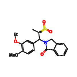 CCOc1cc(C(C(C)=S(=O)=O)N2Cc3ccccc3C2=O)ccc1OC